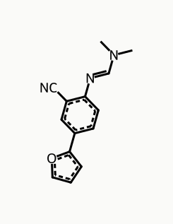 CN(C)C=Nc1ccc(-c2ccco2)cc1C#N